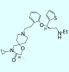 CCNCC[C@@H](Oc1ccccc1CCN1CCC2(CC1)CN(C1CC1)C(=O)[C@@H](C)O2)c1cccs1